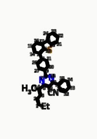 CC/C=C\C=C(/C)c1nc(-c2ccc(-c3cccc4c3sc3ccccc34)cc2)nc(-c2c#cccc2)c1C#N